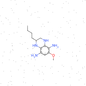 CCCCC1CNc2c(N)c(OC)cc(N)c2N1